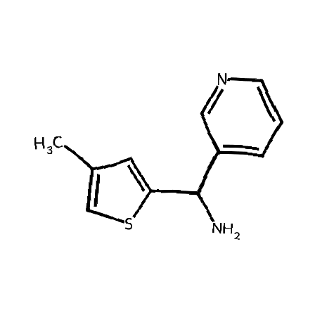 Cc1csc(C(N)c2cccnc2)c1